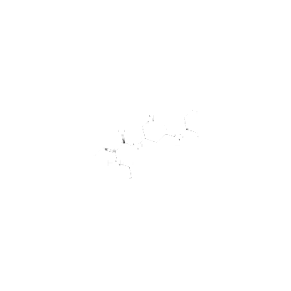 C/C=C(\NCC)C(=O)NC(CN)CCNC(C)CC